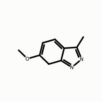 COC1=CC=C2C(C)=NN=C2C1